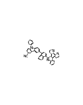 N#Cc1ccc2c(c1)c1cc(-c3ccc(-c4nc5ccccc5c5c6cccnc6c6ncccc6c45)c4ccccc34)ccc1n2-c1ccccc1